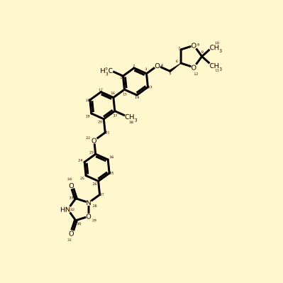 Cc1cc(OC[C@H]2COC(C)(C)O2)ccc1-c1cccc(COc2ccc(Cn3oc(=O)[nH]c3=O)cc2)c1C